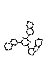 c1ccc2cc(-c3nc(-c4ccc5ccccc5c4)nc(-c4cccc5oc6cnccc6c45)n3)ccc2c1